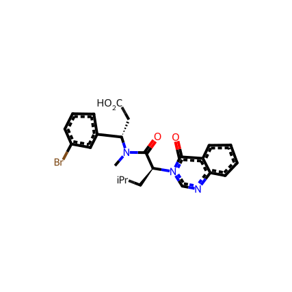 CC(C)C[C@@H](C(=O)N(C)[C@@H](CC(=O)O)c1cccc(Br)c1)n1cnc2ccccc2c1=O